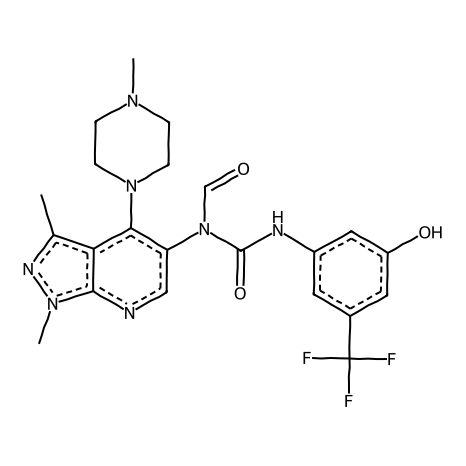 Cc1nn(C)c2ncc(N(C=O)C(=O)Nc3cc(O)cc(C(F)(F)F)c3)c(N3CCN(C)CC3)c12